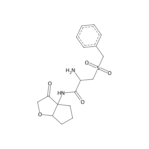 NC(CS(=O)(=O)Cc1ccccc1)C(=O)NC12CCCC1OCC2=O